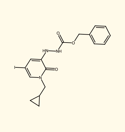 O=C(NNc1cc(I)cn(CC2CC2)c1=O)OCc1ccccc1